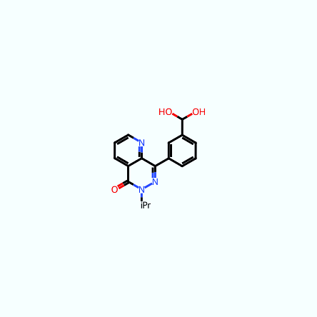 CC(C)n1nc(-c2cccc(C(O)O)c2)c2ncccc2c1=O